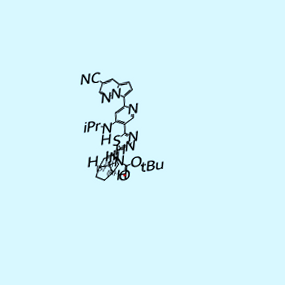 CC(C)Nc1cc(-c2ccc3cc(C#N)cnn23)ncc1-c1nnc(N2C[C@H]3CC[C@@H](C2)[C@@H]3NC(=O)OC(C)(C)C)s1